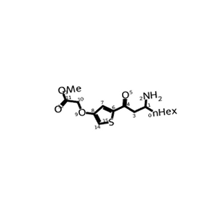 CCCCCCC(N)CC(=O)c1cc(OCC(=O)OC)cs1